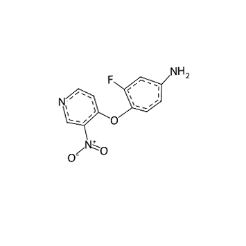 Nc1ccc(Oc2ccncc2[N+](=O)[O-])c(F)c1